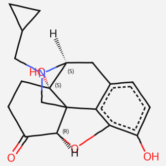 O=C1CC[C@@]2(O)[C@@H]3Cc4ccc(O)c5c4C2(CN3CC2CC2)[C@H]1O5